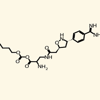 CCCCOC(=O)OC(=O)C(N)CNC(=O)C[C@@H]1C[C@@H](c2ccc(C(=N)N)cc2)NO1